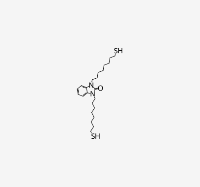 O=c1n(CCCCCCCCS)c2ccccc2n1CCCCCCCCS